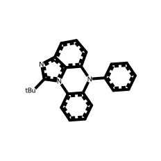 CC(C)(C)c1nc2cccc3c2n1-c1ccccc1N3c1ccccc1